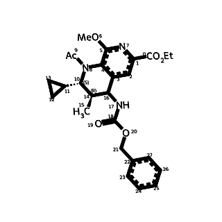 CCOC(=O)c1cc2c(c(OC)n1)N(C(C)=O)[C@@H](C1CC1)[C@H](C)C2NC(=O)OCc1ccccc1